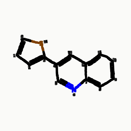 [c]1ccc(-c2cnc3ccccc3c2)s1